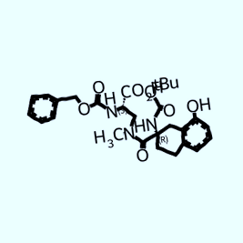 CN(C[C@H](NC(=O)OCc1ccccc1)C(=O)O)C(=O)[C@@]1(NC(=O)OC(C)(C)C)CCc2cccc(O)c2C1